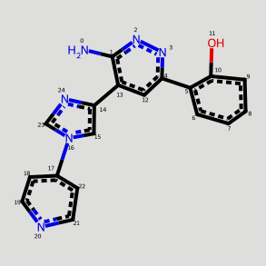 Nc1nnc(-c2ccccc2O)cc1-c1cn(-c2ccncc2)cn1